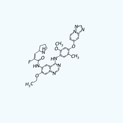 CCOc1cc2ncnc(Nc3cc(C)c(Oc4ccn5ncnc5c4)cc3OC)c2cc1NC(=O)/C(F)=C\C1CCCN1